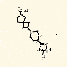 CCOC(=O)N1CCC2(CC(N3CCC(c4n[nH]c(CC)n4)CC3)C2)C1